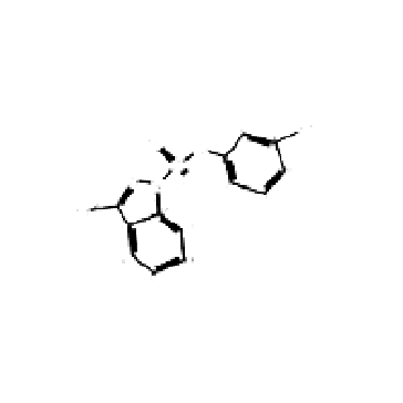 O=S(=O)(Oc1cccc(F)c1)n1nc(Cl)c2c[c]ccc21